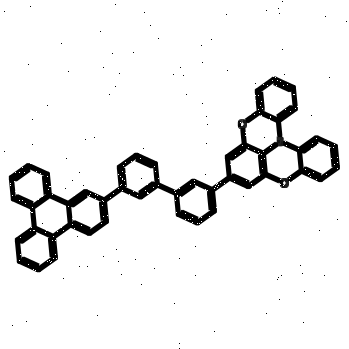 c1cc(-c2cccc(-c3ccc4c5ccccc5c5ccccc5c4c3)c2)cc(-c2cc3c4c(c2)Oc2ccccc2B4c2ccccc2O3)c1